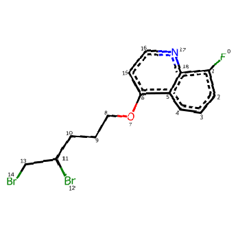 Fc1cccc2c(OCCCC(Br)CBr)ccnc12